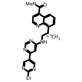 CCc1ncc(-c2cc(NC[C@@H](C)c3cccc4c(C(=O)NC)ccnc34)ncn2)cn1